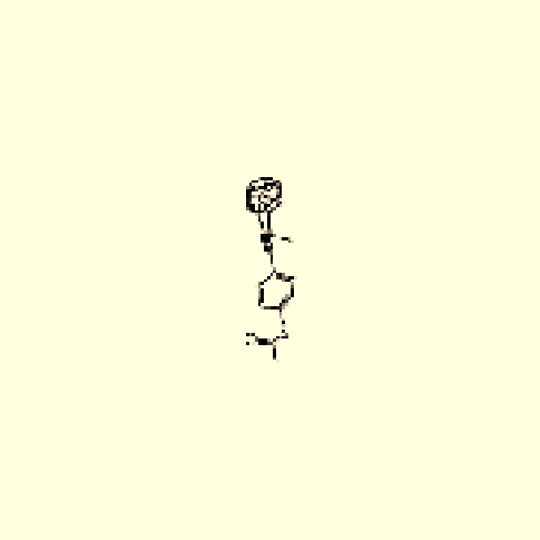 CC[C]12[CH]3[CH]4[CH]5[CH]1[Fe]45321678[CH]2[CH]1[CH]6[C]7(C#Cc1ccc(SC(C)=O)cc1)[CH]28